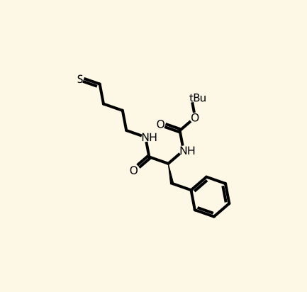 CC(C)(C)OC(=O)N[C@@H](Cc1ccccc1)C(=O)NCCCC=S